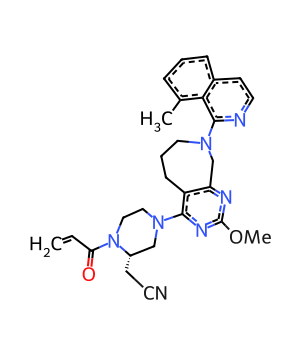 C=CC(=O)N1CCN(c2nc(OC)nc3c2CCCN(c2nccc4cccc(C)c24)C3)C[C@@H]1CC#N